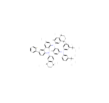 Cc1cc2c3c(c1)N(c1cc4c(cc1C)C(C)(C)CCC4(C)C)c1cc(N(c4cccc(C(C)(C)C)c4)c4cccc(C(C)(C)C)c4)ccc1B3N(c1ccc3c(c1)C(C)(C)CCC3(C)C)c1ccc3c(sc4ccccc43)c1-2